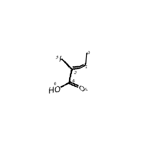 C/C=C(\I)C(=O)O